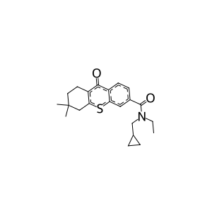 CCN(CC1CC1)C(=O)c1ccc2c(=O)c3c(sc2c1)CC(C)(C)CC3